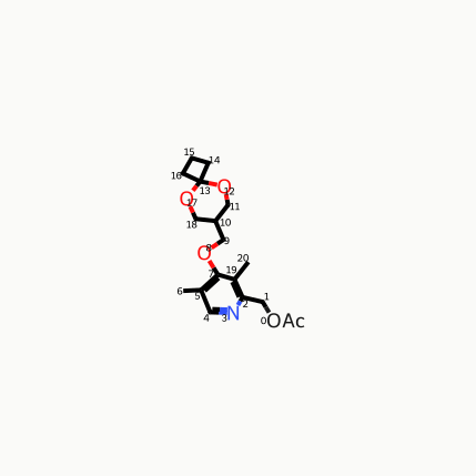 CC(=O)OCc1ncc(C)c(OCC2COC3(CCC3)OC2)c1C